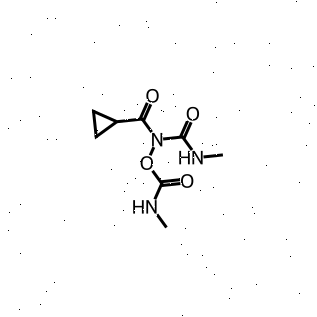 CNC(=O)ON(C(=O)NC)C(=O)C1CC1